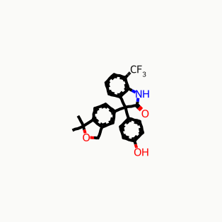 CC1(C)OCc2cc(C3(c4ccc(O)cc4)C(=O)Nc4c(C(F)(F)F)cccc43)ccc21